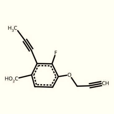 C#CCOc1ccc(C(=O)O)c(C#CC)c1F